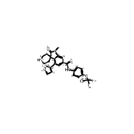 CN1C(=O)C2(CCNCC2)c2c(-c3ccn[nH]3)cc(C(=O)Nc3ccc(OC(F)(F)Cl)cc3)cc21